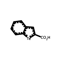 O=C(O)c1cc2ccccc2[te]1